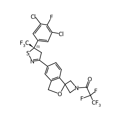 O=C(N1CC2(C1)OCc1cc(C3=NS[C@@](c4cc(Cl)c(F)c(Cl)c4)(C(F)(F)F)C3)ccc12)C(F)(F)C(F)(F)F